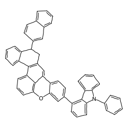 c1ccc(-n2c3ccccc3c3c(-c4ccc5c(c4)Oc4cccc6c7c(cc-5c46)CC(c4ccc5ccccc5c4)c4ccccc4-7)cccc32)cc1